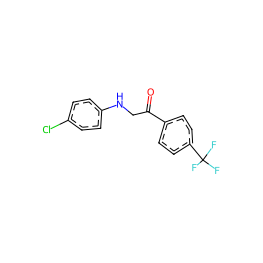 O=C(CNc1ccc(Cl)cc1)c1ccc(C(F)(F)F)cc1